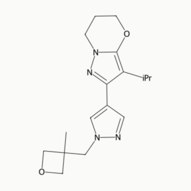 CC(C)c1c(-c2cnn(CC3(C)COC3)c2)nn2c1OCCC2